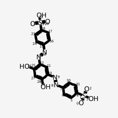 O=S(=O)(O)c1ccc(N=Nc2cc(N=Nc3ccc(S(=O)(=O)O)cc3)c(O)cc2O)cc1